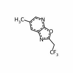 Cc1cnc2oc(CC(F)(F)F)nc2c1